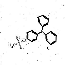 CC[N+](C)(CC)CC.[Cl-].c1ccc(P(c2ccccc2)c2ccccc2)cc1